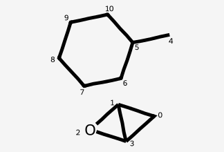 C1C2OC12.CC1CCCCC1